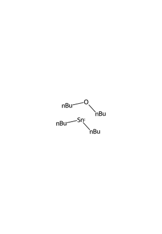 CCCCOCCCC.CCC[CH2][Sn][CH2]CCC